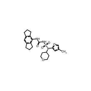 Cc1coc(N(C2CCOCC2)S(=O)(=O)NC(=O)Nc2c3c(cc4c2CCC4)CCC3)c1